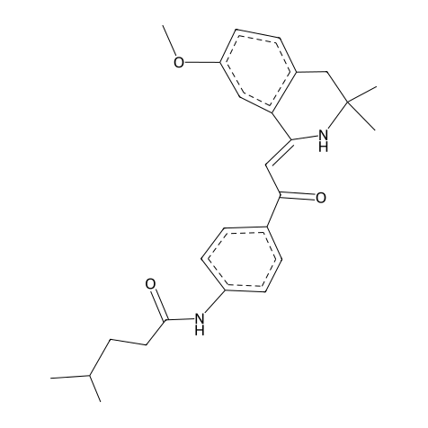 COc1ccc2c(c1)/C(=C/C(=O)c1ccc(NC(=O)CCC(C)C)cc1)NC(C)(C)C2